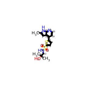 Cc1cc2c(-c3ccc(S(=O)(=O)NCC(C)(C)O)s3)ccnc2[nH]1